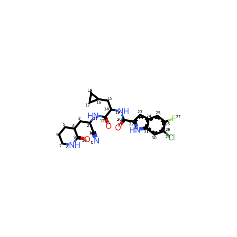 N#CC(CC1CCCNC1=O)NC(=O)C(CC1CC1)NC(=O)c1cc2cc(F)c(Cl)cc2[nH]1